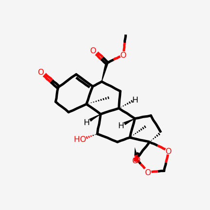 COC(=O)[C@H]1C[C@@H]2[C@H]([C@@H](O)C[C@@]3(C)[C@H]2CC[C@@]32OCOC23COCO3)[C@@]2(C)CCC(=O)C=C12